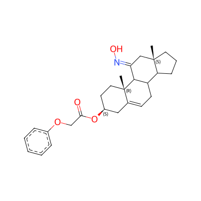 C[C@@]12CCCC1C1CC=C3C[C@@H](OC(=O)COc4ccccc4)CC[C@]3(C)C1C(=NO)C2